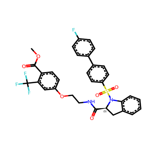 COC(=O)c1ccc(OCCNC(=O)[C@@H]2Cc3ccccc3N2S(=O)(=O)c2ccc(-c3ccc(F)cc3)cc2)cc1C(F)(F)F